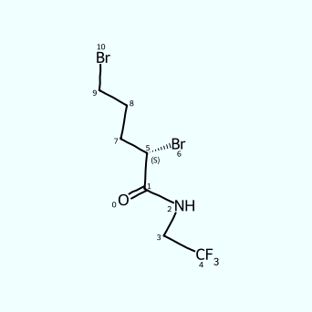 O=C(NCC(F)(F)F)[C@@H](Br)CCCBr